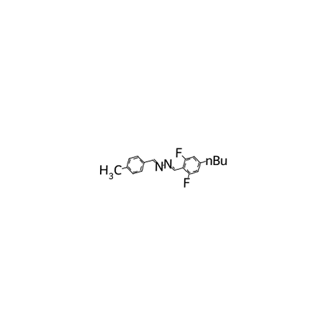 CCCCc1cc(F)c(C=NN=Cc2ccc(C)cc2)c(F)c1